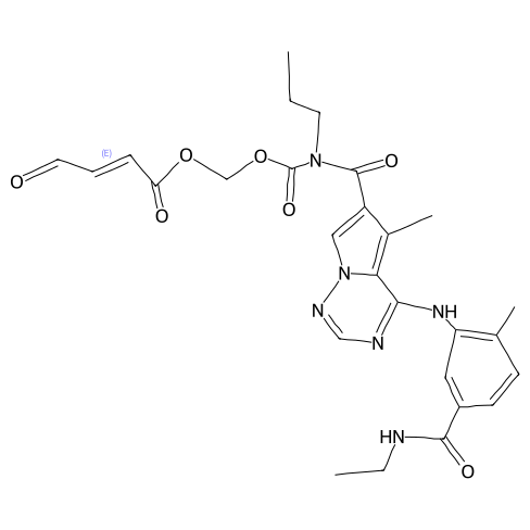 CCCN(C(=O)OCOC(=O)/C=C/C=O)C(=O)c1cn2ncnc(Nc3cc(C(=O)NCC)ccc3C)c2c1C